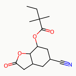 CCC(C)(C)C(=O)OC1CC(C#N)CC2CC(=O)OC21